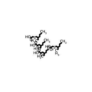 CCCCC(CC)CC(S)C(=O)O.CCCCC(CC)CC(S)C(=O)O.CCCCC(CC)CSCC(=O)O.CCCCC(CC)CSCC(=O)O